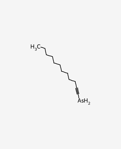 CCCCCCCCCCC#C[AsH2]